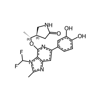 Cc1nc2cc(-c3ccc(O)c(O)c3)nc(O[C@H](C)[C@H]3CNC(=O)C3)c2n1C(F)F